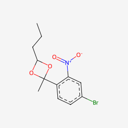 CCCC1OC(C)(c2ccc(Br)cc2[N+](=O)[O-])O1